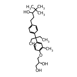 CCC(CC)(c1ccc(CCC(O)C(C)(C)C)cc1)c1ccc(OC[C@@H](O)CO)c(C)c1